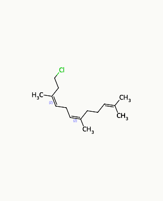 CC(C)=CCC/C(C)=C\C/C=C(/C)CCCl